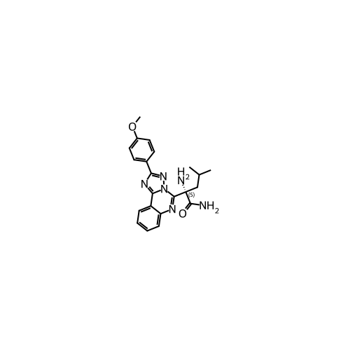 COc1ccc(-c2nc3c4ccccc4nc([C@@](N)(CC(C)C)C(N)=O)n3n2)cc1